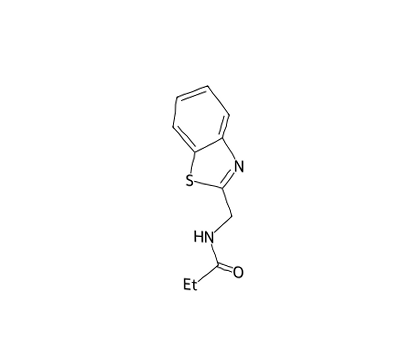 CCC(=O)NCc1nc2ccccc2s1